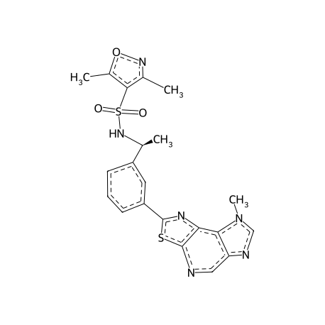 Cc1noc(C)c1S(=O)(=O)N[C@@H](C)c1cccc(-c2nc3c(ncc4ncn(C)c43)s2)c1